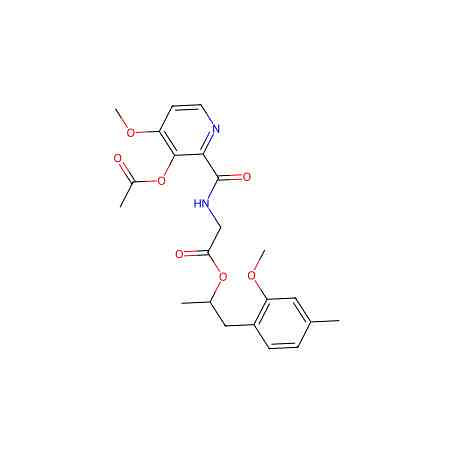 COc1cc(C)ccc1CC(C)OC(=O)CNC(=O)c1nccc(OC)c1OC(C)=O